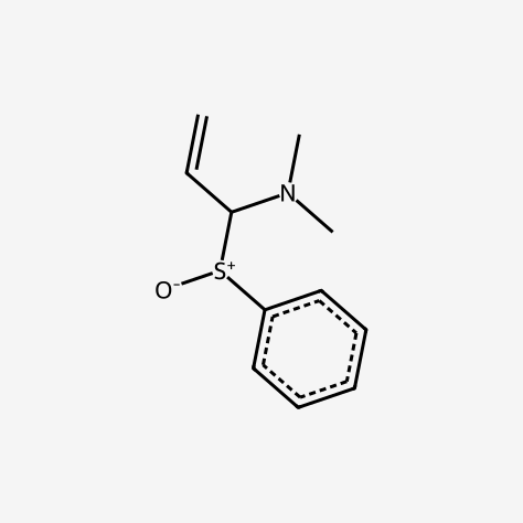 C=CC(N(C)C)[S+]([O-])c1ccccc1